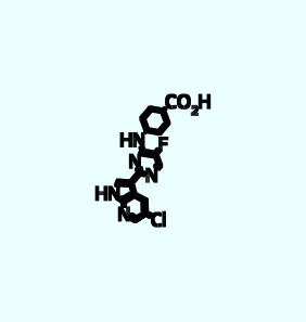 O=C(O)[C@H]1CC[C@H](Nc2nc(-c3c[nH]c4ncc(Cl)cc34)ncc2F)CC1